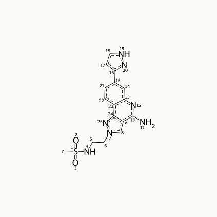 CS(=O)(=O)NCCn1cc2c(N)nc3cc(-c4cc[nH]n4)ccc3c2n1